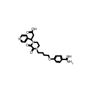 N=C(N)c1ccc(OCCCCN2CCN(C(CC(=O)O)c3ccncc3)C(=O)C2=O)cc1